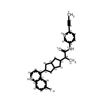 CC#Cc1ccc(NC(=O)C(C)C2CC3CC(c4ccnc5ccc(F)cc45)CC3C2)cn1